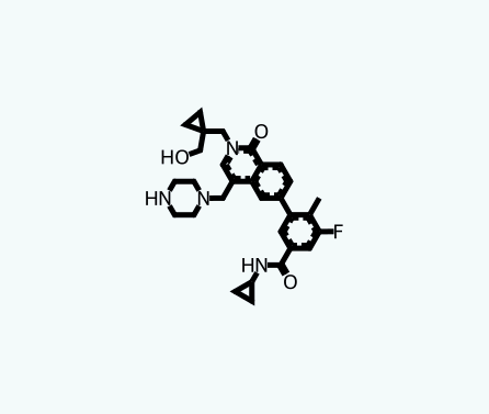 Cc1c(F)cc(C(=O)NC2CC2)cc1-c1ccc2c(=O)n(CC3(CO)CC3)cc(CN3CCNCC3)c2c1